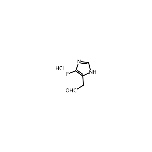 Cl.O=CCc1[nH]cnc1F